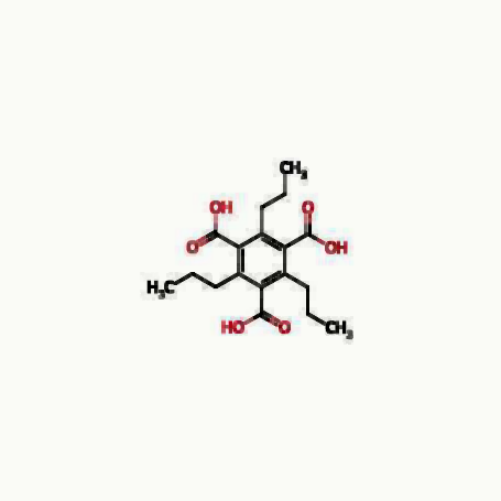 CCCc1c(C(=O)O)c(CCC)c(C(=O)O)c(CCC)c1C(=O)O